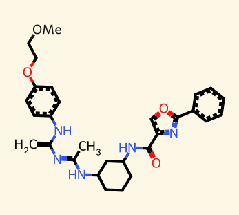 C=C(/N=C(\C)NC1CCCC(NC(=O)c2coc(-c3ccccc3)n2)C1)Nc1ccc(OCCOC)cc1